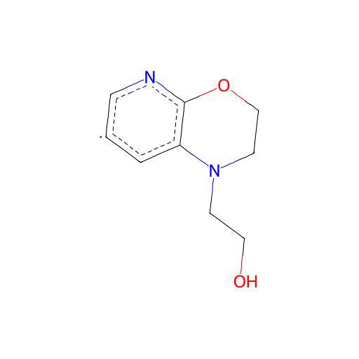 OCCN1CCOc2nc[c]cc21